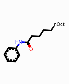 CCCCCCCCCCCCC(=O)Nc1cc[c]cc1